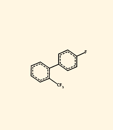 Fc1ccc(-c2ccccc2C(F)(F)F)cc1